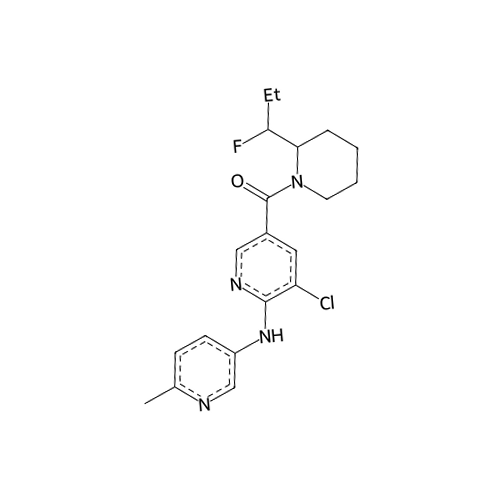 CCC(F)C1CCCCN1C(=O)c1cnc(Nc2ccc(C)nc2)c(Cl)c1